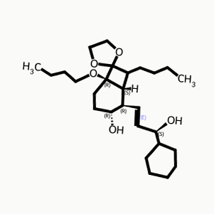 CCCCO[C@]12CC[C@@H](O)[C@H](/C=C/[C@@H](O)C3CCCCC3)[C@H]1C(CCCC)C21OCCO1